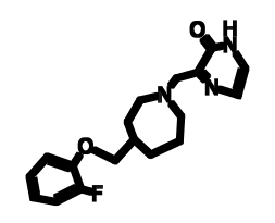 O=c1[nH]ccnc1CN1CCCC(COc2ccccc2F)CC1